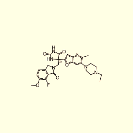 CCN1CCN(c2cc3oc([C@]4(CN5Cc6ccc(OC)c(F)c6C5=O)NC(=O)NC4=O)cc3nc2C)CC1